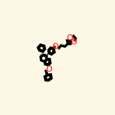 c1ccc(COc2ccc3c(c2)CC[C@H](c2ccccc2)[C@@H]3c2ccc(OCCCC3CC4(C3)OCCO4)cc2)cc1